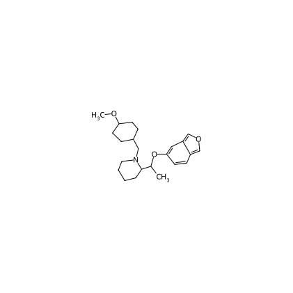 COC1CCC(CN2CCCCC2C(C)Oc2ccc3cocc3c2)CC1